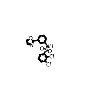 O=S(=O)(Nc1cccc(-c2ncco2)c1)c1cccc(Cl)c1Cl